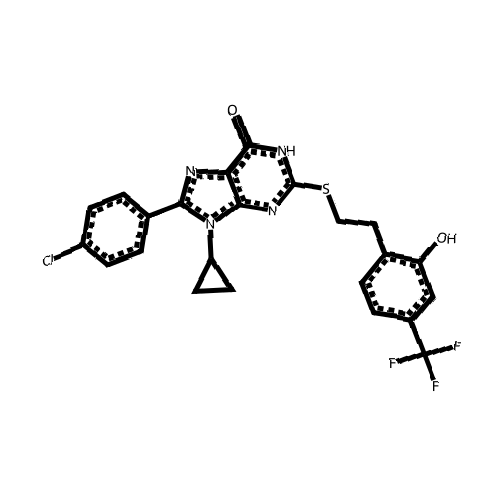 O=c1[nH]c(SCCc2ccc(C(F)(F)F)cc2O)nc2c1nc(-c1ccc(Cl)cc1)n2C1CC1